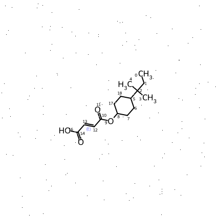 CCC(C)(C)C1CCC(OC(=O)/C=C/C(=O)O)CC1